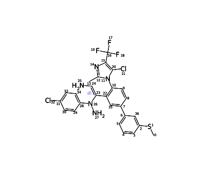 CSc1cccc(-c2ccc(-n3c(C)nc(C(F)(F)F)c3Cl)c(/C(=C/N)N(N)c3ccc(Cl)cc3)c2)c1